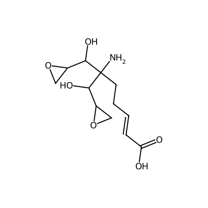 NC(CCC=CC(=O)O)(C(O)C1CO1)C(O)C1CO1